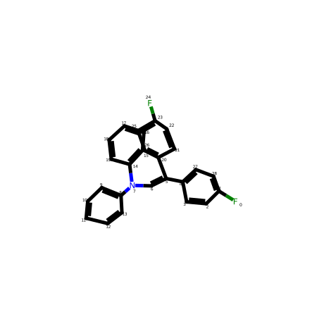 Fc1ccc(C(=CN(c2ccccc2)c2ccccc2)c2ccc(F)cc2)cc1